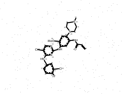 C=CC(=O)Nc1cc(Nc2ncc(Cl)c(Nc3ccc(F)c(Cl)c3)n2)c(OC)cc1N1CCN(C)CC1